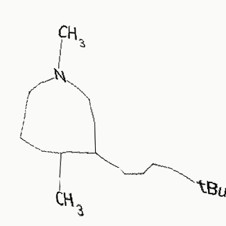 CC1CCN(C)CC1CCC(C)(C)C